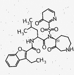 CCc1c(C(=O)NC(CC(C)C)C(=O)N([C@H]2CCCNCC2=O)S(=O)(=O)C2=NC=CCC2=O)oc2ccccc12